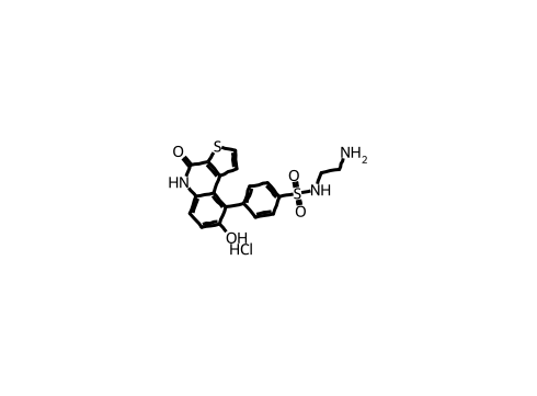 Cl.NCCNS(=O)(=O)c1ccc(-c2c(O)ccc3[nH]c(=O)c4sccc4c23)cc1